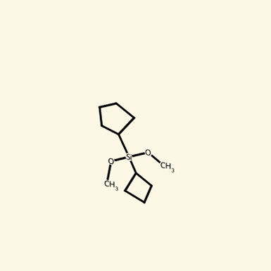 CO[Si](OC)(C1CCCC1)C1CCC1